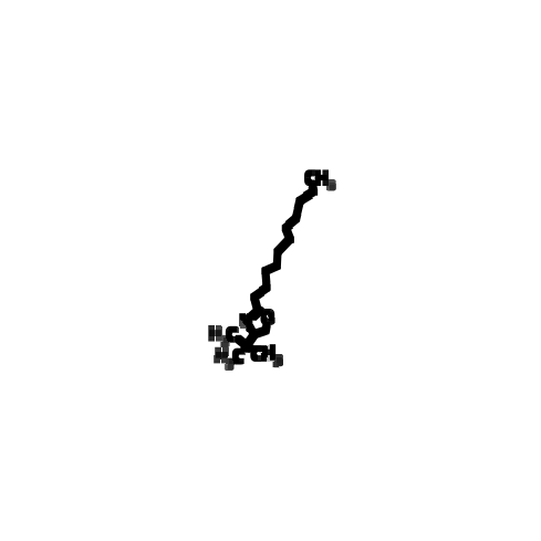 CCCCCCCCCCCC1=NC(C(C)(C)C)CO1